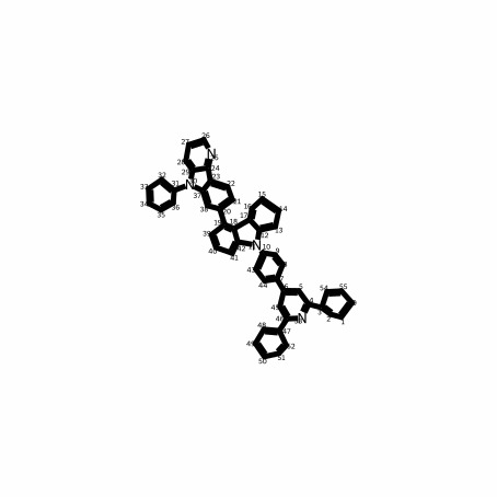 c1ccc(-c2cc(-c3ccc(-n4c5ccccc5c5c(-c6ccc7c8ncccc8n(-c8ccccc8)c7c6)cccc54)cc3)cc(-c3ccccc3)n2)cc1